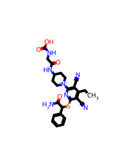 CCc1c(C#N)c(SC(C(N)=O)c2ccccc2)nc(N2CCC(NC(=O)CNC(=O)O)CC2)c1C#N